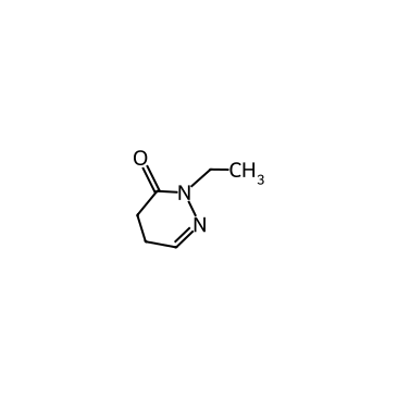 CCN1N=CCCC1=O